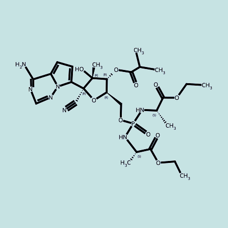 CCOC(=O)[C@H](C)NP(=O)(N[C@@H](C)C(=O)OCC)OC[C@H]1O[C@@](C#N)(c2ccc3c(N)ncnn23)[C@](C)(O)[C@@H]1OC(=O)C(C)C